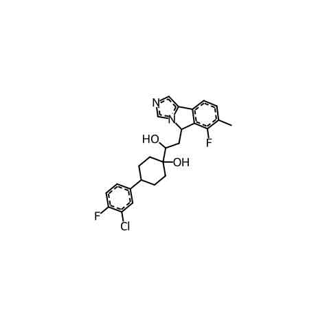 Cc1ccc2c(c1F)C(CC(O)C1(O)CCC(c3ccc(F)c(Cl)c3)CC1)n1cncc1-2